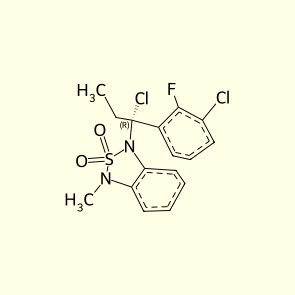 CC[C@@](Cl)(c1cccc(Cl)c1F)N1c2ccccc2N(C)S1(=O)=O